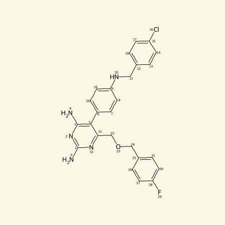 Nc1nc(N)c(-c2ccc(NCc3ccc(Cl)cc3)cc2)c(COCc2ccc(F)cc2)n1